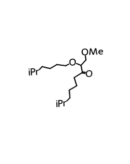 COCC(OCCCCC(C)C)C(=O)CCCCC(C)C